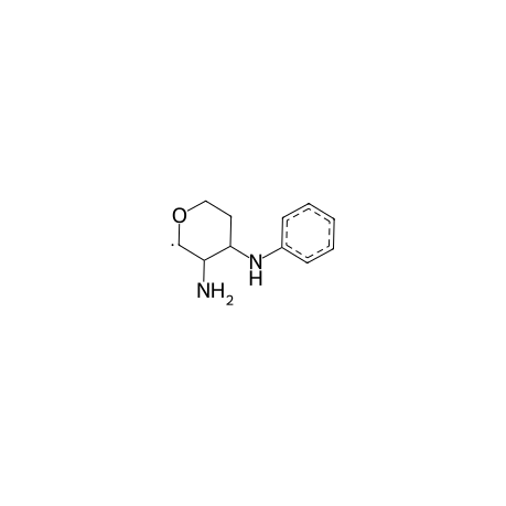 NC1[CH]OCCC1Nc1ccccc1